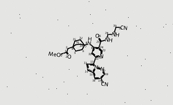 COC(=O)CC12CCC(Nc3cc(-c4ccc5cc(C#N)cnn45)ncc3C(=O)NCNCC#N)(CC1)CC2